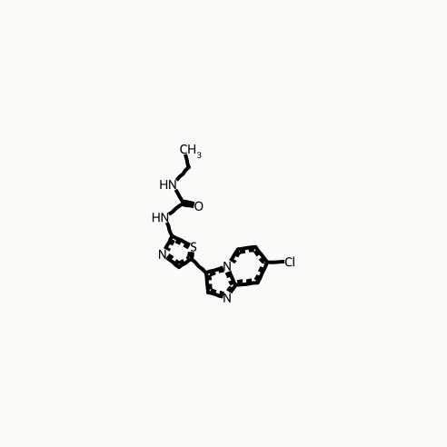 CCNC(=O)Nc1ncc(-c2cnc3cc(Cl)ccn23)s1